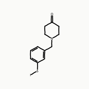 O=C1CCN(Cc2cccc(SI)c2)CC1